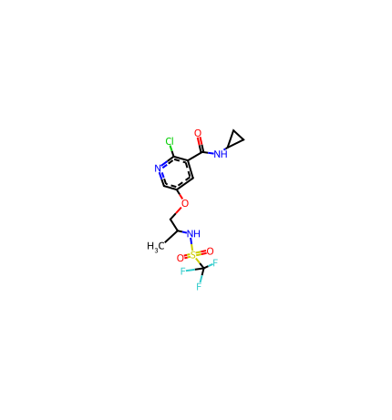 CC(COc1cnc(Cl)c(C(=O)NC2CC2)c1)NS(=O)(=O)C(F)(F)F